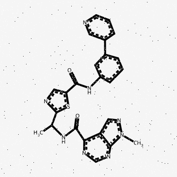 CC(NC(=O)c1ncnc2c1cnn2C)c1ncc(C(=O)Nc2cccc(-c3cccnc3)c2)s1